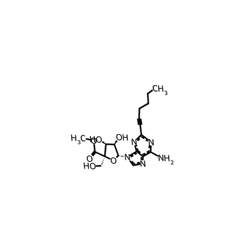 CCCCC#Cc1nc(N)c2ncn([C@@H]3O[C@@](CO)(C(=O)OC)[C@@H](O)[C@H]3O)c2n1